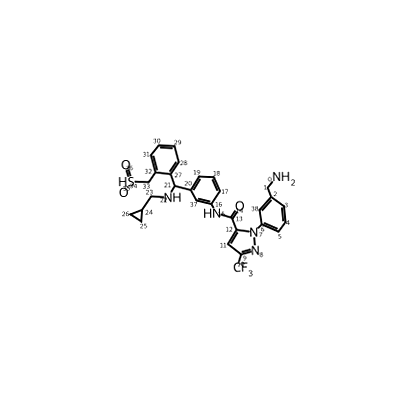 NCc1cccc(-n2nc(C(F)(F)F)cc2C(=O)Nc2cccc(C(NCC3CC3)c3ccccc3C[SH](=O)=O)c2)c1